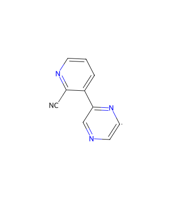 N#Cc1ncccc1-c1cnc[c]n1